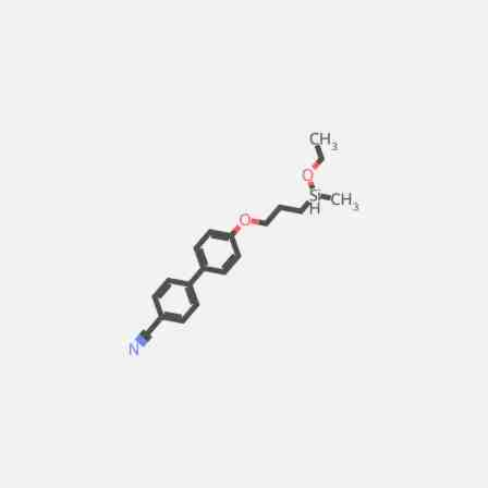 CCO[SiH](C)CCCOc1ccc(-c2ccc(C#N)cc2)cc1